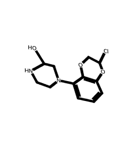 OC1CN(c2cccc3c2OCC(Cl)O3)CCN1